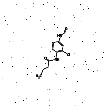 CCCC(=O)Nc1ccc(NC=O)cc1Cl